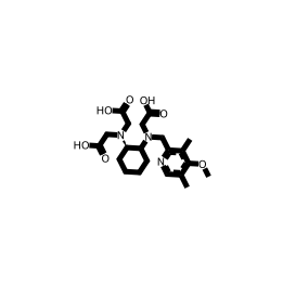 COc1c(C)cnc(CN(CC(=O)O)C2CCCC[C@@H]2N(CC(=O)O)CC(=O)O)c1C